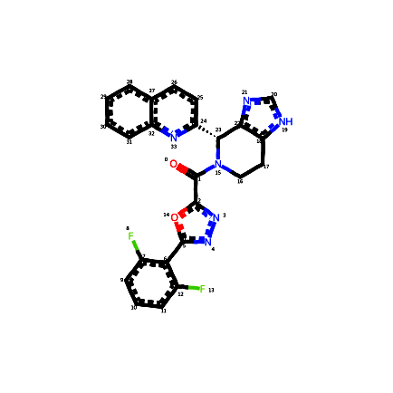 O=C(c1nnc(-c2c(F)cccc2F)o1)N1CCc2[nH]cnc2[C@H]1c1ccc2ccccc2n1